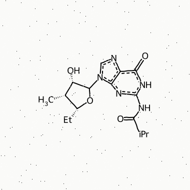 CC[C@H]1OC(n2cnc3c(=O)[nH]c(NC(=O)C(C)C)nc32)[C@@H](O)[C@H]1C